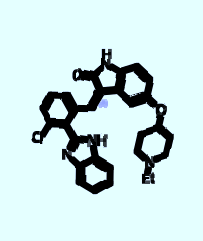 CCN1CCC(Oc2ccc3c(c2)/C(=C/c2cccc(Cl)c2-c2nc4ccccc4[nH]2)C(=O)N3)CC1